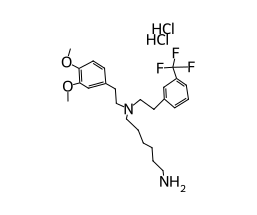 COc1ccc(CCN(CCCCCCN)CCc2cccc(C(F)(F)F)c2)cc1OC.Cl.Cl